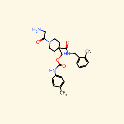 N#Cc1ccccc1CNC(=O)C1(COC(=O)Nc2ccc(C(F)(F)F)cc2)CCN(C(=O)CN)CC1